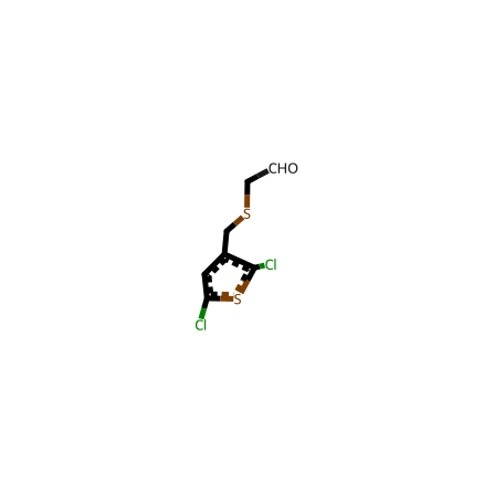 O=CCSCc1cc(Cl)sc1Cl